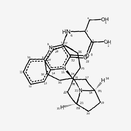 O=C(O)C(CO)Nc1nc2ccccc2n([C@H]2C[C@H]3CC[C@@H](C2)N3C2CCCCCCC2)c1=O